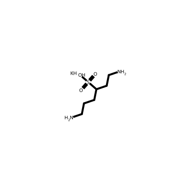 NCCCC(CCN)S(=O)(=O)O.[KH]